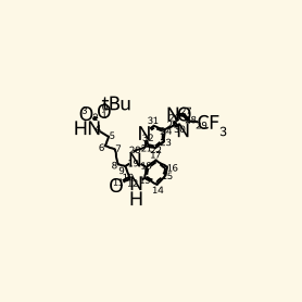 CC(C)(C)OC(=O)NCCCCC1C(=O)Nc2ccccc2N1Cc1ccc(-c2noc(C(F)(F)F)n2)cn1